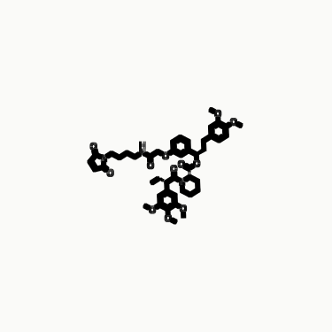 CC[C@H](C(=O)N1CCCC[C@H]1C(=O)O[C@H](CCc1ccc(OC)c(OC)c1)c1cccc(OCC(=O)NCCCCN2C(=O)C=CC2=O)c1)c1cc(OC)c(OC)c(OC)c1